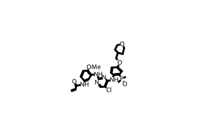 C=CC(=O)Nc1ccc(OC)c(Nc2ncc(Cl)c(Nc3ccc(OCC4CCOCC4)cc3P(C)(C)=O)n2)c1